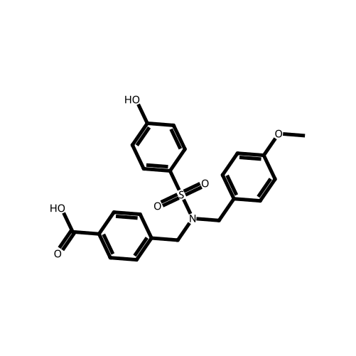 COc1ccc(CN(Cc2ccc(C(=O)O)cc2)S(=O)(=O)c2ccc(O)cc2)cc1